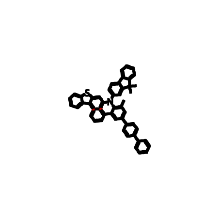 Cc1cc(-c2ccc(-c3ccccc3)cc2)cc(-c2ccccc2)c1N(c1ccc2c(c1)C(C)(C)c1ccccc1-2)c1ccc2c(c1)sc1ccccc12